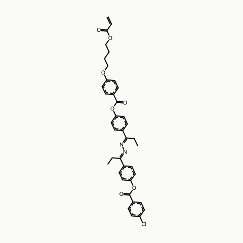 C=CC(=O)OCCCCOc1ccc(C(=O)Oc2ccc(/C(CC)=N/N=C(\CC)c3ccc(OC(=O)c4ccc(Cl)cc4)cc3)cc2)cc1